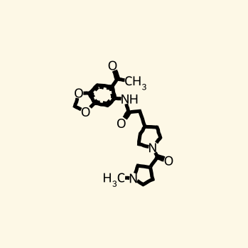 CC(=O)c1cc2c(cc1NC(=O)CC1CCN(C(=O)C3CCN(C)C3)CC1)OCO2